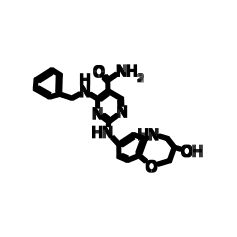 NC(=O)c1cnc(Nc2ccc3c(c2)NCC(O)CO3)nc1NCc1ccccc1